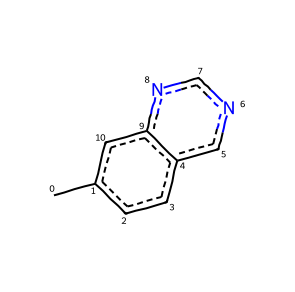 Cc1ccc2cncnc2c1